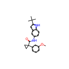 COc1cccc(C2(C(=O)Nc3ccc4[nH]c(C(C)(C)C)cc4c3)CC2)c1